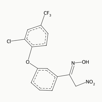 O=[N+]([O-])CC(=NO)c1cccc(Oc2ccc(C(F)(F)F)cc2Cl)c1